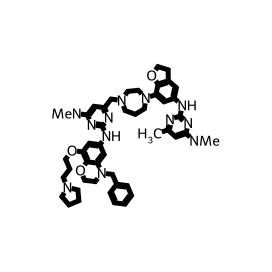 CNc1cc(C)nc(Nc2cc3c(c(N4CCCN(Cc5cc(NC)nc(Nc6cc(OCCCN7CCCC7)c7c(c6)N(Cc6ccccc6)CCO7)n5)CC4)c2)OCC3)n1